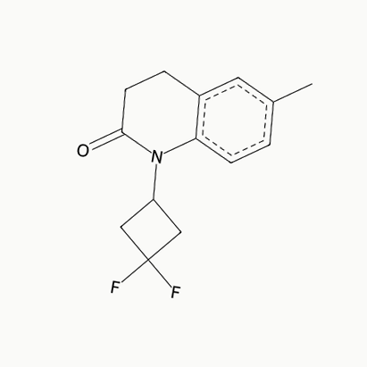 Cc1ccc2c(c1)CCC(=O)N2C1CC(F)(F)C1